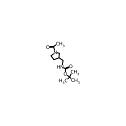 CC(=O)N1CCC(CNC(=O)OC(C)(C)C)C1